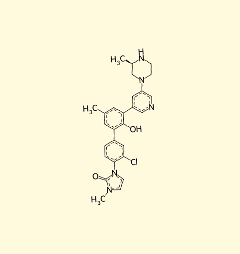 Cc1cc(-c2cncc(N3CCN[C@H](C)C3)c2)c(O)c(-c2ccc(-n3ccn(C)c3=O)c(Cl)c2)c1